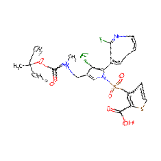 CN(Cc1cn(S(=O)(=O)c2ccsc2C(=O)O)c(-c2cccnc2F)c1F)C(=O)OC(C)(C)C